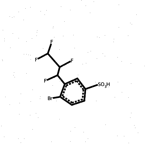 O=S(=O)(O)c1ccc(Br)c(C(F)C(F)C(F)F)c1